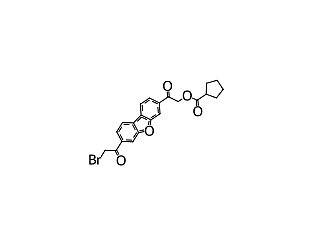 O=C(CBr)c1ccc2c(c1)oc1cc(C(=O)COC(=O)C3CCCC3)ccc12